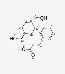 O=C(O)C=Cc1ccccc1.OC[C@H]1CC[C@H](CO)CC1